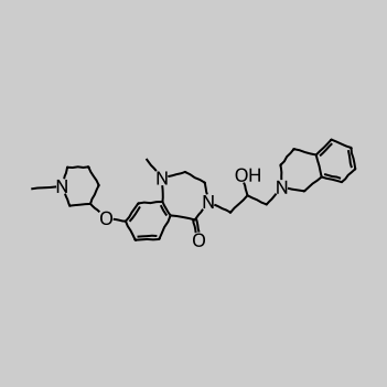 CN1CCCC(Oc2ccc3c(c2)N(C)CCN(CC(O)CN2CCc4ccccc4C2)C3=O)C1